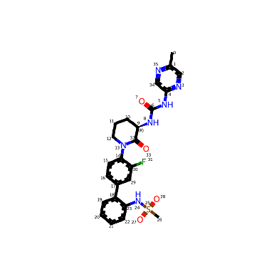 Cc1cnc(NC(=O)N[C@@H]2CCCN(c3ccc(-c4ccccc4NS(C)(=O)=O)cc3F)C2=O)cn1